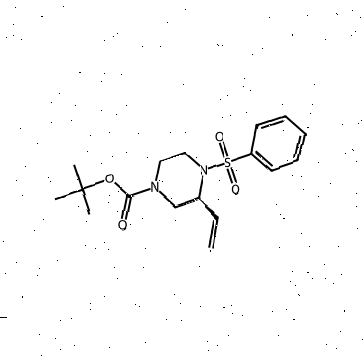 C=C[C@H]1CN(C(=O)OC(C)(C)C)CCN1S(=O)(=O)c1ccccc1